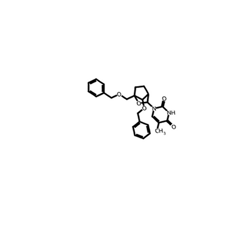 Cc1cn(C2OC3(COCc4ccccc4)CCC2C3OCc2ccccc2)c(=O)[nH]c1=O